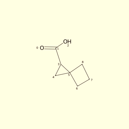 O=C(O)C1CC12CCC2